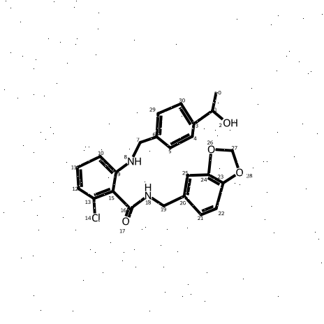 CC(O)c1ccc(CNc2cccc(Cl)c2C(=O)NCc2ccc3c(c2)OCO3)cc1